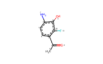 CC(=O)c1ccc(N)c(O)c1F